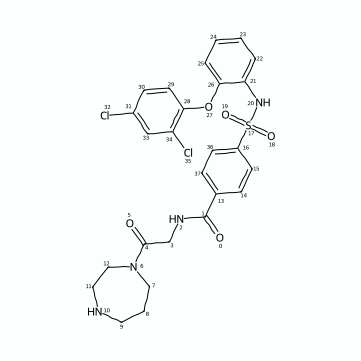 O=C(NCC(=O)N1CCCNCC1)c1ccc(S(=O)(=O)Nc2ccccc2Oc2ccc(Cl)cc2Cl)cc1